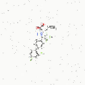 CCC[C@H](N[C@@H](c1ccc(-c2ccc(F)cc2F)cc1)C(F)(F)F)C(=O)O